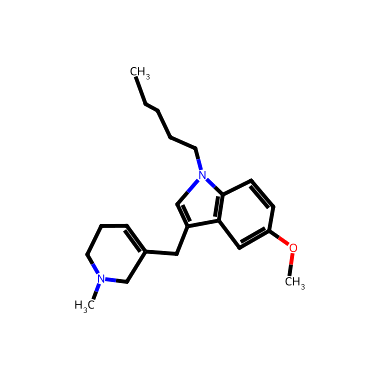 CCCCCn1cc(CC2=CCCN(C)C2)c2cc(OC)ccc21